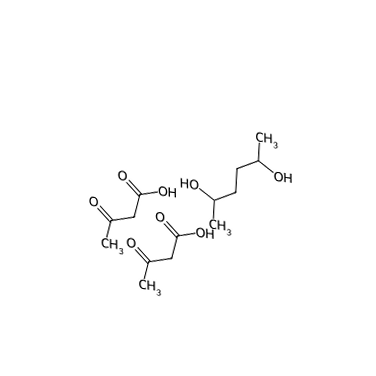 CC(=O)CC(=O)O.CC(=O)CC(=O)O.CC(O)CCC(C)O